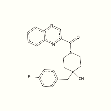 N#CC1(Cc2ccc(F)cc2)CCN(C(=O)c2cnc3ccccc3n2)CC1